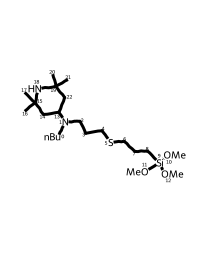 CCCCN(CCCSCCC[Si](OC)(OC)OC)C1CC(C)(C)NC(C)(C)C1